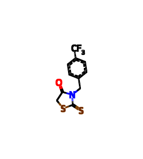 O=C1CSC(=S)N1Cc1ccc(C(F)(F)F)cc1